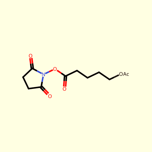 CC(=O)OCCCCC(=O)ON1C(=O)CCC1=O